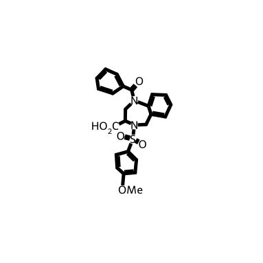 COc1ccc(S(=O)(=O)N2Cc3ccccc3N(C(=O)c3ccccc3)CC2C(=O)O)cc1